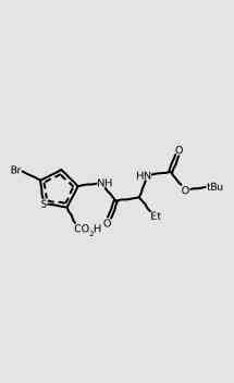 CCC(NC(=O)OC(C)(C)C)C(=O)Nc1cc(Br)sc1C(=O)O